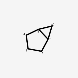 [C]1C2CCCC12